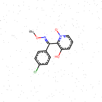 CC(C)(C)O/N=C(\c1ccc(Cl)cc1)c1c(O)ccc[n+]1[O-]